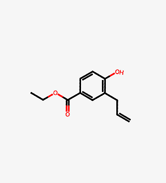 C=CCc1cc(C(=O)OCC)ccc1O